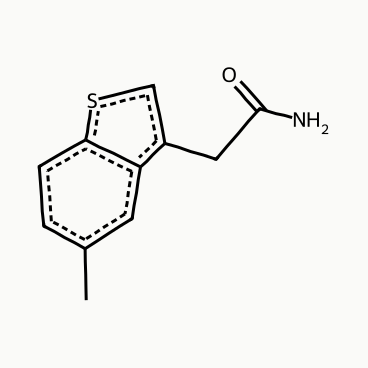 Cc1ccc2scc(CC(N)=O)c2c1